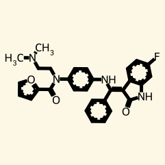 CN(C)CCN(C(=O)c1ccco1)c1ccc(NC(=C2C(=O)Nc3cc(F)ccc32)c2ccccc2)cc1